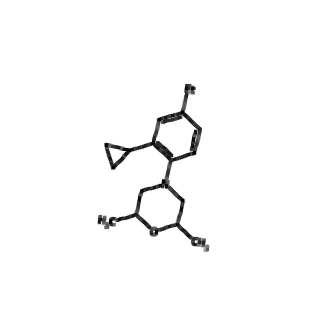 CCc1ccc(N2CC(C)OC(C)C2)c(C2CC2)c1